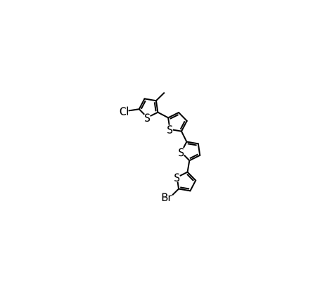 Cc1cc(Cl)sc1-c1ccc(-c2ccc(-c3ccc(Br)s3)s2)s1